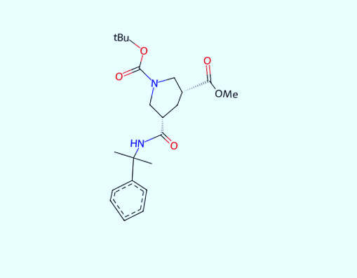 COC(=O)[C@@H]1C[C@H](C(=O)NC(C)(C)c2ccccc2)CN(C(=O)OC(C)(C)C)C1